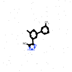 Cc1cc(-c2cccc(C(F)(F)F)c2)cc(-c2nn[nH]c2C#N)c1